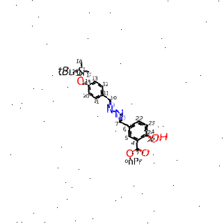 CCCOC(=O)c1cc(/C=N/N=C/c2ccc(O[Si](C)(C)C(C)(C)C)cc2)ccc1O